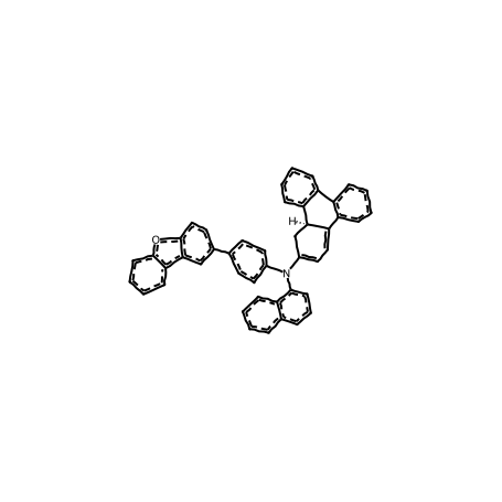 C1=C2c3ccccc3-c3ccccc3[C@@H]2CC(N(c2ccc(-c3ccc4oc5ccccc5c4c3)cc2)c2cccc3ccccc23)=C1